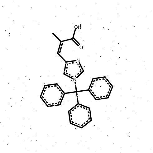 CC(=Cc1cn(C(c2ccccc2)(c2ccccc2)c2ccccc2)cn1)C(=O)O